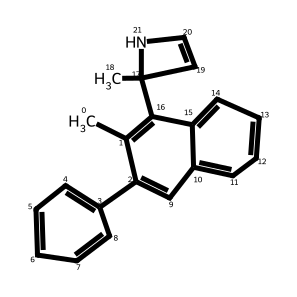 Cc1c(-c2ccccc2)cc2ccccc2c1C1(C)C=CN1